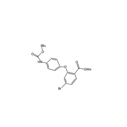 COC(=O)c1ccc(Br)cc1Oc1ccc(NC(=O)OC(C)(C)C)cc1